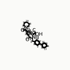 O=C(O)C(O)CNN(Cc1ccc(-c2ccccc2)cc1)C(=O)c1cc(C(=O)N2CCCCC2)n[nH]1